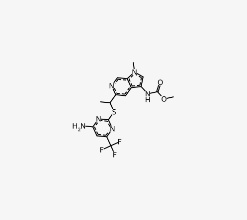 COC(=O)Nc1cn(C)c2cnc(C(C)Sc3nc(N)cc(C(F)(F)F)n3)cc12